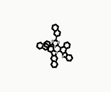 c1ccc2cc(-c3nc(-c4ccc5ccccc5c4)nc(-c4c(-n5c6cc7ccccc7cc6c6cc7ccccc7cc65)c5sc6ccccc6c5c5ccccc45)n3)ccc2c1